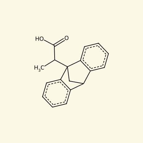 CC(C(=O)O)C12CC(c3ccccc31)c1ccccc12